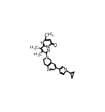 Cc1cc(=O)n2nc(N3CCc4ncc(-c5ccc(C6CC6)nc5)cc4C3)c(C)c(C)c2n1